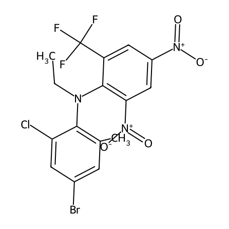 CCN(c1c(C)cc(Br)cc1Cl)c1c([N+](=O)[O-])cc([N+](=O)[O-])cc1C(F)(F)F